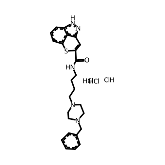 Cl.Cl.Cl.O=C(NCCCCN1CCN(Cc2ccccc2)CC1)C1=Cc2n[nH]c3cccc(c23)S1